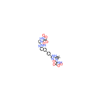 COC(=O)N[C@H](C(=O)N1C[Si](C)(C)C[C@H]1c1ncc(-c2ccc(-c3ccc4c(ccc5nc([C@@H]6CCCN6C(=O)[C@@H](NC(=O)OC)[C@@H](C)OC)[nH]c54)c3)cc2)[nH]1)[C@@H](C)OC